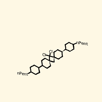 CCCCCC1CCC(C2CC[C@]3(CC2)C[C@@]2(CC[C@H](C4CCC(CCCCC)CC4)CC2)C3(Cl)Cl)CC1